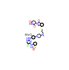 COc1cc(N2CCC(N(C)CCCSc3cccc4c3CN(C3CCC(=O)NC3=O)C4=O)CC2)ccc1Nc1ncc(Cl)c(Nc2ccccc2P(C)(C)=O)n1